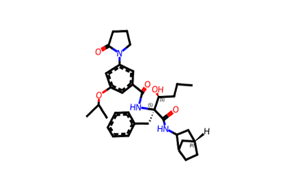 CCC[C@H](O)[C@](Cc1ccccc1)(NC(=O)c1cc(OC(C)C)cc(N2CCCC2=O)c1)C(=O)NC1C[C@@H]2CCC1C2